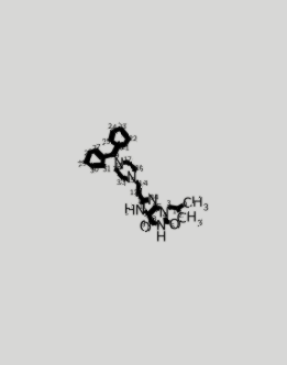 CC(C)Cn1c(=O)[nH]c(=O)c2[nH]c(CCN3CCN(C(c4ccccc4)c4ccccc4)CC3)nc21